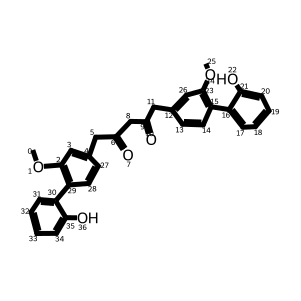 COc1cc(CC(=O)CC(=O)Cc2ccc(-c3ccccc3O)c(OC)c2)ccc1-c1ccccc1O